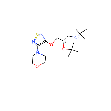 CC(C)(C)NC[C@@H](COc1nsnc1N1CCOCC1)OC(C)(C)C